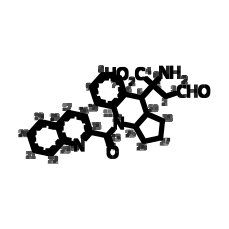 NC(CC=O)(C(=O)O)C1c2ccccc2N(C(=O)c2ccc3ccccc3n2)C2CCCC21